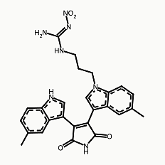 Cc1ccc2[nH]cc(C3=C(c4cn(CCCNC(N)=N[N+](=O)[O-])c5ccc(C)cc45)C(=O)NC3=O)c2c1